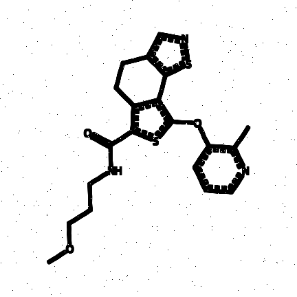 COCCCNC(=O)c1sc(Oc2cccnc2C)c2c1CCc1cnsc1-2